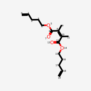 C=CCCCOC(=O)/C(C)=C(/C)C(=O)OCCCC=C